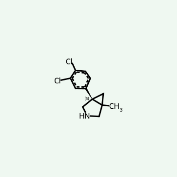 CC12CNC[C@]1(c1ccc(Cl)c(Cl)c1)C2